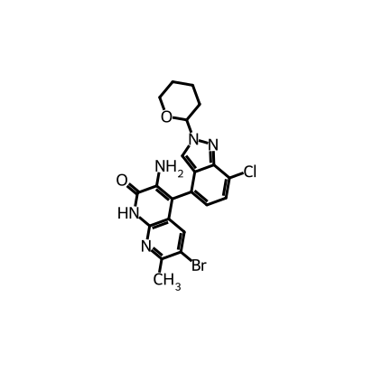 Cc1nc2[nH]c(=O)c(N)c(-c3ccc(Cl)c4nn(C5CCCCO5)cc34)c2cc1Br